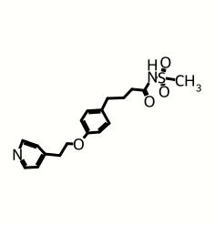 CS(=O)(=O)NC(=O)CCCc1ccc(OCCc2ccncc2)cc1